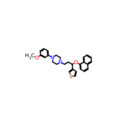 COc1cccc(N2CCN(CCC(Oc3cccc4ccccc34)c3ccsc3)CC2)c1